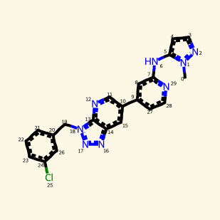 Cn1nccc1Nc1cc(-c2cnc3c(c2)nnn3Cc2cccc(Cl)c2)ccn1